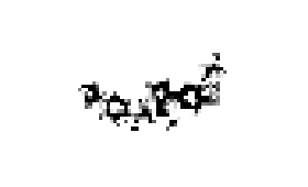 COc1nc(N[C@@H]2CCN(C3COC3)C[C@H]2F)nn2ccc(-c3ccc4nnn(C[C@@H](C)F)c4c3)c12